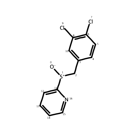 [O-][S+](Cc1ccc(Cl)c(Cl)c1)c1ccccn1